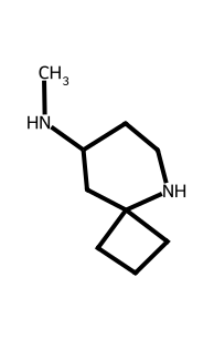 CNC1CCNC2(CCC2)C1